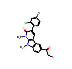 CC(=O)CC(=O)c1ccc2c(c1)c1cc(-c3ccc(Cl)cc3Cl)c(=O)n(C)c1n2C